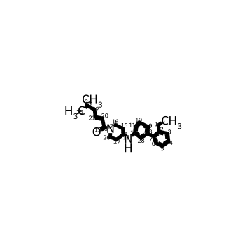 CCc1ccccc1-c1cccc(NC2CCN(C(=O)/C=C/CC(C)C)CC2)c1